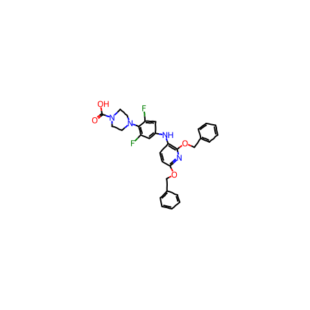 O=C(O)N1CCN(c2c(F)cc(Nc3ccc(OCc4ccccc4)nc3OCc3ccccc3)cc2F)CC1